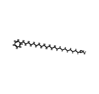 [CH2]CCCCCCCCCCCCCCCCCCCCCCc1ccccc1